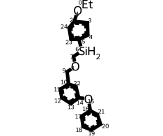 CCOc1ccc([SiH2]COCc2cccc(Oc3ccccc3)c2)cc1